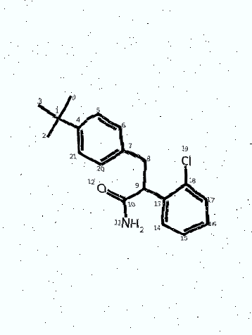 CC(C)(C)c1ccc(CC(C(N)=O)c2ccccc2Cl)cc1